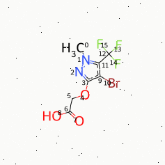 Cn1nc(OCC(=O)O)c(Br)c1C(F)(F)F